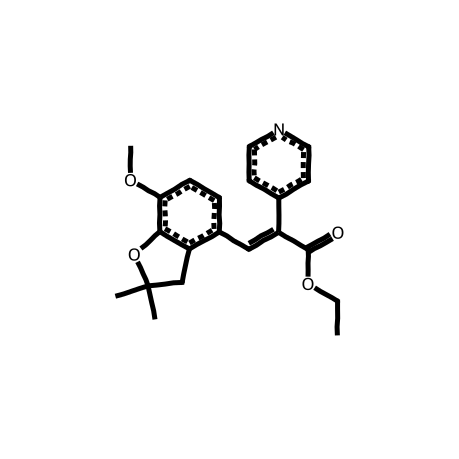 CCOC(=O)/C(=C/c1ccc(OC)c2c1CC(C)(C)O2)c1ccncc1